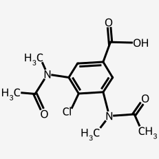 CC(=O)N(C)c1cc(C(=O)O)cc(N(C)C(C)=O)c1Cl